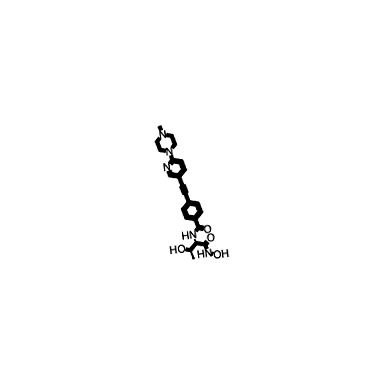 C[C@@H](O)[C@H](NC(=O)c1ccc(C#Cc2ccc(N3CCN(C)CC3)nc2)cc1)C(=O)NO